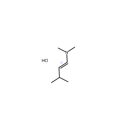 CC(C)/C=C/N(C)C.Cl